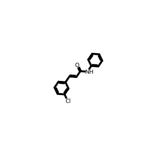 O=C(/C=C/c1cccc(Cl)c1)Nc1ccccc1